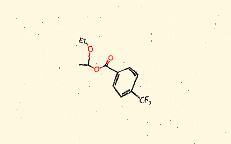 CCOC(C)OC(=O)c1ccc(C(F)(F)F)cc1